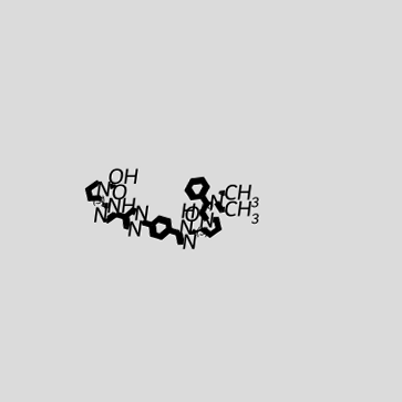 CCN(CC)[C@@H](C(=O)N1CCC[C@H]1c1ncc(-c2ccc(-c3ncc(-c4cnc([C@@H]5CCCN5C(=O)O)[nH]4)cn3)cc2)[nH]1)c1ccccc1